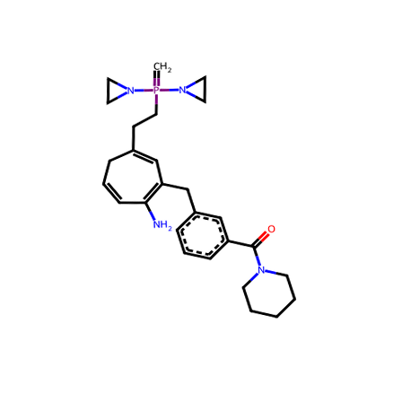 C=P(CCC1=CC(Cc2cccc(C(=O)N3CCCCC3)c2)=C(N)C=CC1)(N1CC1)N1CC1